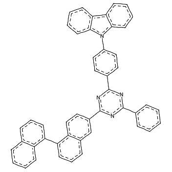 c1ccc(-c2nc(-c3ccc(-n4c5ccccc5c5ccccc54)cc3)nc(-c3ccc4c(-c5cccc6ccccc56)cccc4c3)n2)cc1